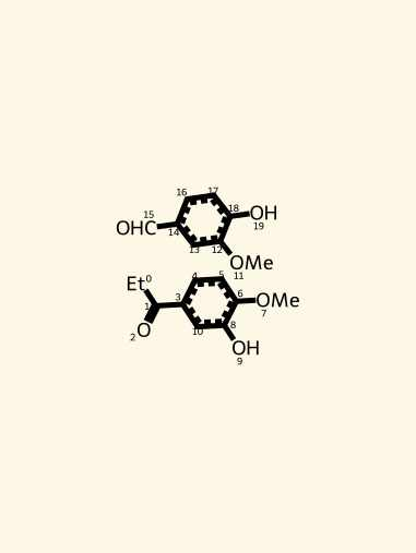 CCC(=O)c1ccc(OC)c(O)c1.COc1cc(C=O)ccc1O